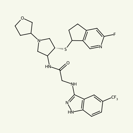 O=C(CNc1n[nH]c2ccc(C(F)(F)F)cc12)NC1CN(C2CCOC2)C[C@@H]1SC1CCc2cc(F)ncc21